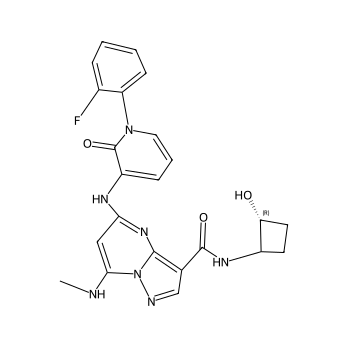 CNc1cc(Nc2cccn(-c3ccccc3F)c2=O)nc2c(C(=O)NC3CC[C@H]3O)cnn12